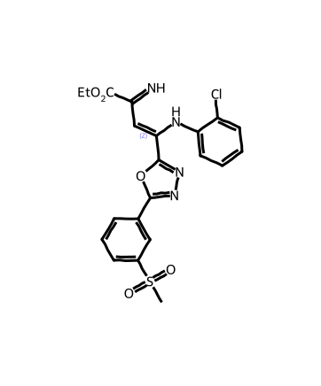 CCOC(=O)C(=N)/C=C(\Nc1ccccc1Cl)c1nnc(-c2cccc(S(C)(=O)=O)c2)o1